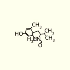 Cc1cc(O)cc(C)c1CC(NC=O)C(C)C